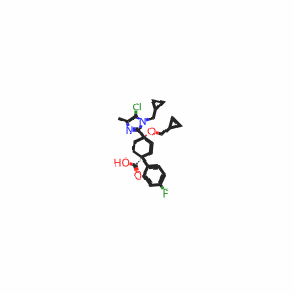 Cc1nc([C@]2(OCC3CC3)CC[C@](C(=O)O)(c3ccc(F)cc3)CC2)n(CC2CC2)c1Cl